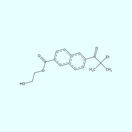 CCC(C)(C)C(=O)c1ccc2cc(C(=O)OCCO)ccc2c1